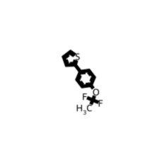 CC(F)(F)Oc1ccc(-c2cccs2)cc1